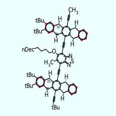 CC#Cc1c2c(c(C#Cc3c(OCCCCCCCCCCCCCC)c(C)c(C#Cc4c5c(c(C#CC(C)(C)C)c6c4[C@H]4c7ccccc7[C@H]6c6ccccc64)[C@@H]4c6ccc(C(C)(C)C)cc6[C@@H]5c5ccc(C(C)(C)C)cc54)c4nsnc34)c3c1[C@H]1c4ccccc4[C@H]3c3ccccc31)[C@@H]1c3ccc(C(C)(C)C)cc3[C@@H]2c2ccc(C(C)(C)C)cc21